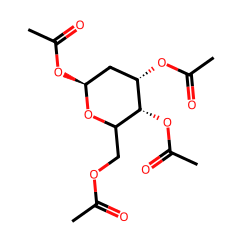 CC(=O)OCC1O[C@@H](OC(C)=O)C[C@H](OC(C)=O)[C@@H]1OC(C)=O